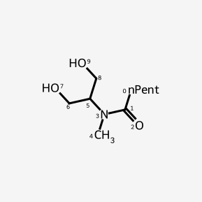 CCCCCC(=O)N(C)C(CO)CO